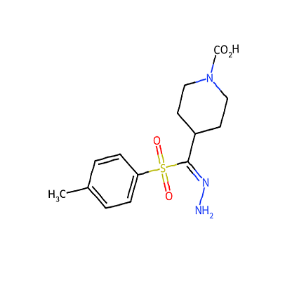 Cc1ccc(S(=O)(=O)C(=NN)C2CCN(C(=O)O)CC2)cc1